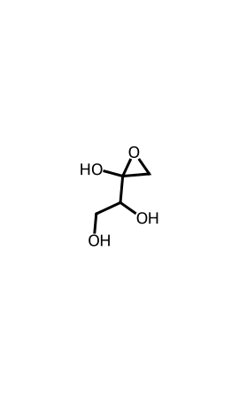 OCC(O)C1(O)CO1